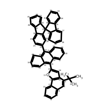 CC(C)(C)c1cc2ccccc2c2oc(-c3c4ccccc4c(-c4ccc5c(c4)C4(c6ccccc6-c6ccccc64)c4ccccc4-5)c4ccccc34)cc12